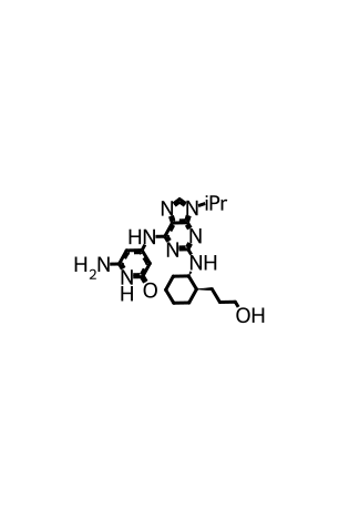 CC(C)n1cnc2c(Nc3cc(N)[nH]c(=O)c3)nc(N[C@H]3CCCC[C@@H]3CCCO)nc21